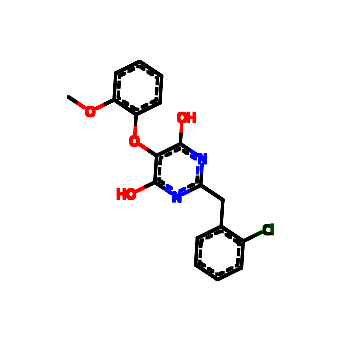 COc1ccccc1Oc1c(O)nc(Cc2ccccc2Cl)nc1O